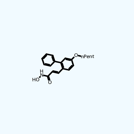 CCCCCOc1ccc(/C=C/C(=O)NO)c(-c2ccccc2)c1